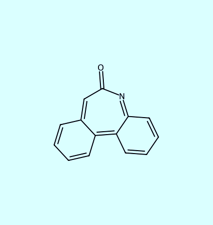 O=c1cc2ccccc2c2ccccc2n1